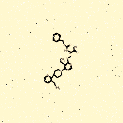 CCc1c(NC[C@H](NC(=O)OCc2ccccc2)C(=O)O)ncnc1N1CCC(c2ncccc2CN)CC1